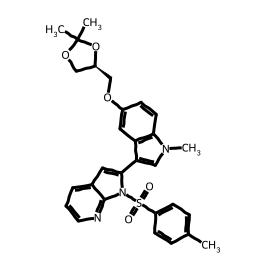 Cc1ccc(S(=O)(=O)n2c(-c3cn(C)c4ccc(OC[C@H]5COC(C)(C)O5)cc34)cc3cccnc32)cc1